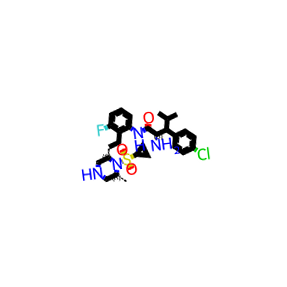 CC(C)C(c1ccc(Cl)cc1)[C@H](N)C(=O)Nc1cccc(F)c1CC[C@H]1CNC[C@@H](C)N1S(=O)(=O)C1CC1